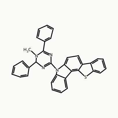 CN1C(c2ccccc2)=NC(n2c3ccccc3c3c4sc5ccccc5c4ccc32)=NC1c1ccccc1